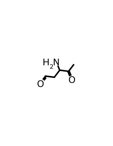 CC(=O)C(N)CC=O